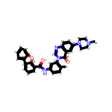 Cc1ccc(NC(=O)c2cccc3c2oc2ccccc23)cc1-n1cnc2ccc(N3CCN(C)CC3)cc2c1=O